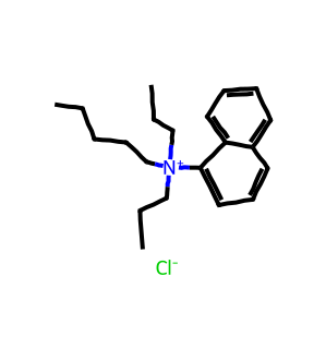 CCCCC[N+](CCC)(CCC)c1cccc2ccccc12.[Cl-]